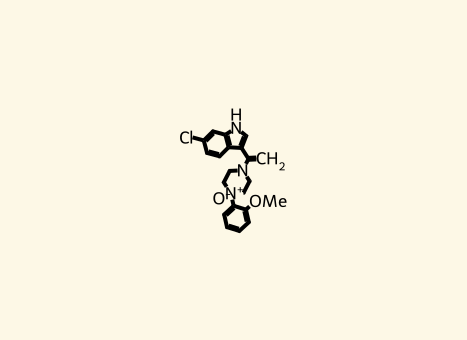 C=C(c1c[nH]c2cc(Cl)ccc12)N1CC[N+]([O-])(c2ccccc2OC)CC1